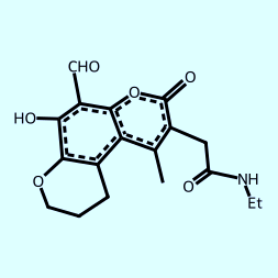 CCNC(=O)Cc1c(C)c2c3c(c(O)c(C=O)c2oc1=O)OCCC3